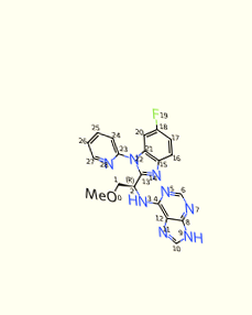 COC[C@H](Nc1ncnc2[nH]cnc12)c1nc2ccc(F)cc2n1-c1ccccn1